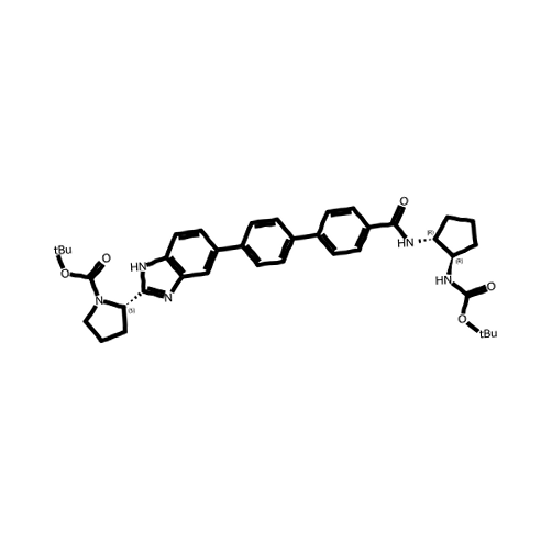 CC(C)(C)OC(=O)N[C@@H]1CCC[C@H]1NC(=O)c1ccc(-c2ccc(-c3ccc4[nH]c([C@@H]5CCCN5C(=O)OC(C)(C)C)nc4c3)cc2)cc1